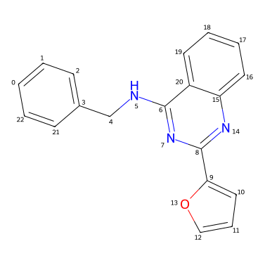 c1ccc(CNc2nc(-c3ccco3)nc3ccccc23)cc1